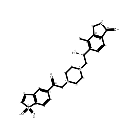 Cc1c([C@@H](O)CN2CCN(CC(=O)c3ccc4c(c3)C=CS4(=O)=O)CC2)ccc2c1COC2=O